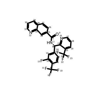 O=C(N[C@@H](c1ccc(C(F)(F)F)c(F)c1)c1ncccc1C(F)(F)F)c1ccc2cccnc2c1